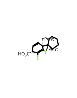 CCCCCC1([C@]2(CCCCC)C=C[C@@H](C(=O)O)C(F)=C2F)CCCCC1